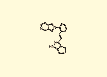 C(=Cc1n[nH]c2ccccc12)c1ccccc1-n1cc2ccncc2c1